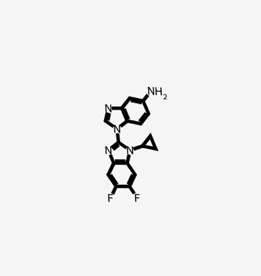 Nc1ccc2c(c1)ncn2-c1nc2cc(F)c(F)cc2n1C1CC1